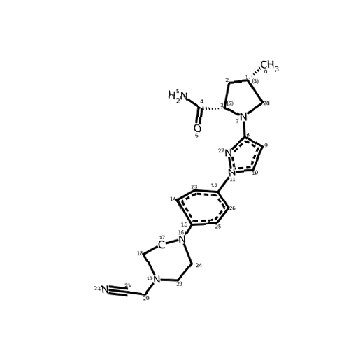 C[C@H]1C[C@@H](C(N)=O)N(c2ccn(-c3ccc(N4CCN(CC#N)CC4)cc3)n2)C1